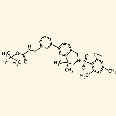 Cc1cc(C)c(S(=O)(=O)N2Cc3ccc(-c4cccc(CNC(=O)OC(C)(C)C)c4)cc3C(C)(C)C2)c(C)c1